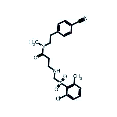 Cc1cccc(Cl)c1S(=O)(=O)CNCCC(=O)N(C)CCc1ccc(C#N)cc1